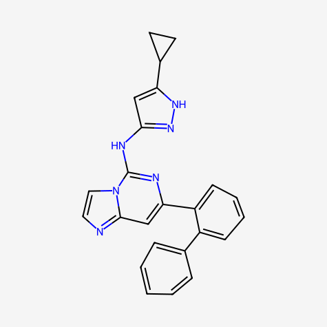 c1ccc(-c2ccccc2-c2cc3nccn3c(Nc3cc(C4CC4)[nH]n3)n2)cc1